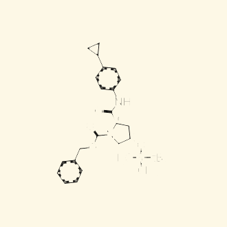 CC(C)(C)[Si](C)(C)O[C@H]1C[C@H](C(=O)Nc2ccc(C3CC3)cc2)N(C(=O)OCc2ccccc2)C1